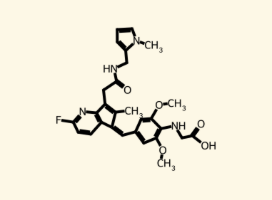 COc1cc(C=C2C(C)=C(CC(=O)NCc3cccn3C)c3nc(F)ccc32)cc(OC)c1NCC(=O)O